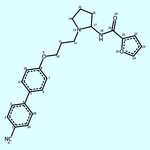 N#Cc1ccc(-c2ccc(OCCCN3CCCC3NC(=O)c3ccco3)cc2)cc1